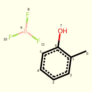 Cc1ccccc1O.FB(F)F